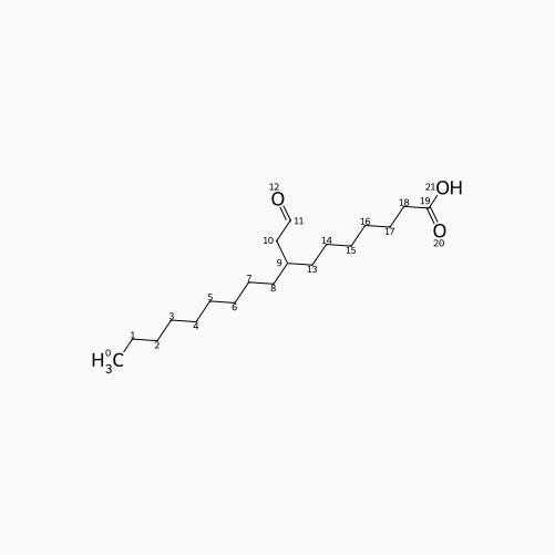 CCCCCCCCCC(CC=O)CCCCCCC(=O)O